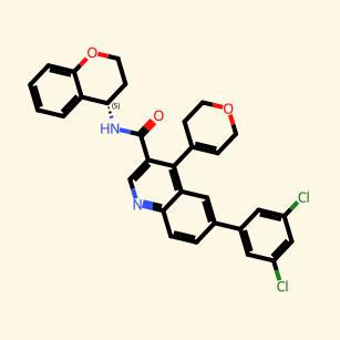 O=C(N[C@H]1CCOc2ccccc21)c1cnc2ccc(-c3cc(Cl)cc(Cl)c3)cc2c1C1=CCOCC1